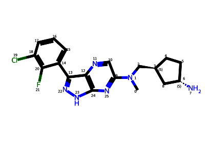 CN(C[C@H]1CC[C@H](N)C1)c1cnc2c(-c3cccc(Cl)c3F)n[nH]c2n1